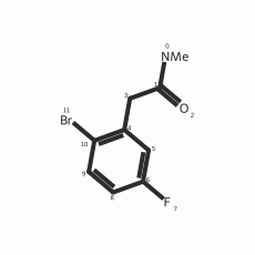 CNC(=O)Cc1cc(F)ccc1Br